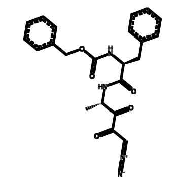 C[C@H](NC(=O)[C@H](Cc1ccccc1)NC(=O)OCc1ccccc1)C(=O)C(=O)C=[N+]=[N-]